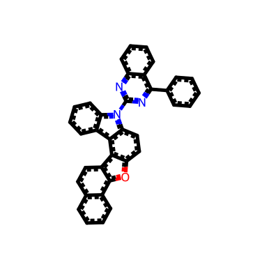 c1ccc(-c2nc(-n3c4ccccc4c4c5c(ccc43)oc3c4ccccc4ccc35)nc3ccccc23)cc1